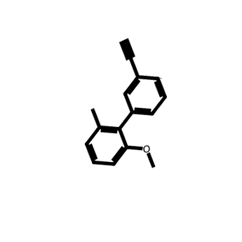 C#Cc1[c]ccc(-c2c(C)cccc2OC)c1